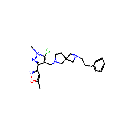 Cc1cc(-c2nn(C)c(Cl)c2CN2CCC3(C2)CN(CCc2ccccc2)C3)no1